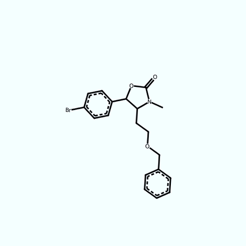 CN1C(=O)OC(c2ccc(Br)cc2)C1CCOCc1ccccc1